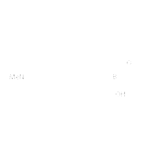 CNCCc1ccc2c(c1)B(O)OC2